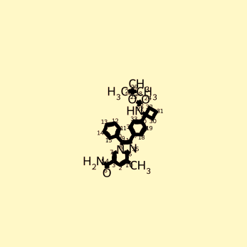 Cc1cc(C(N)=O)cn2c(-c3ccccc3)c(-c3ccc(C4(NC(=O)OC(C)(C)C)CCC4)cc3)nc12